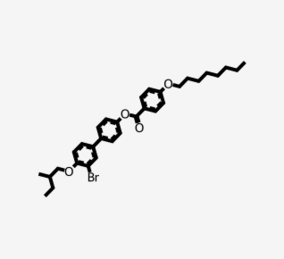 CCCCCCCCOc1ccc(C(=O)Oc2ccc(-c3ccc(OCC(C)CC)c(Br)c3)cc2)cc1